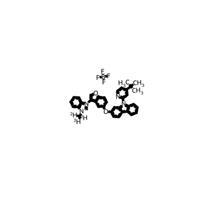 F[B-](F)(F)F.[2H]C([2H])([2H])[n+]1cn(-c2coc3ccc(Oc4ccc5c6ccccc6n(-c6cc(C(C)(C)C)ccn6)c5c4)cc23)c2ccccc21